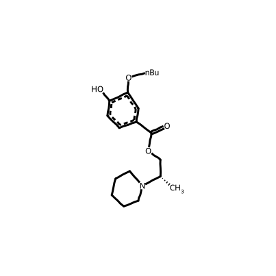 CCCCOc1cc(C(=O)OC[C@H](C)N2CCCCC2)ccc1O